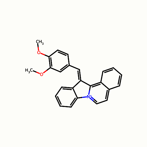 COc1ccc(C=C2c3ccccc3-[n+]3ccc4ccccc4c32)cc1OC